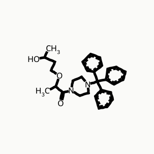 CC(O)CCOC(C)C(=O)N1CCN(C(c2ccccc2)(c2ccccc2)c2ccccc2)CC1